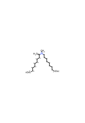 CCCCCCCCCCCCCCCCCCN(C)C(C)CCCCCCCCCCCCCCCCC